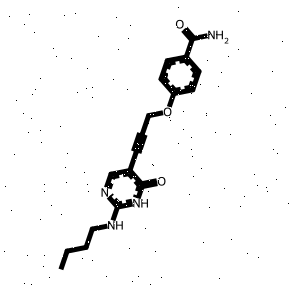 CCCCNc1ncc(C#CCOc2ccc(C(N)=O)cc2)c(=O)[nH]1